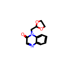 O=c1cnc2ccccc2n1CC1OCCO1